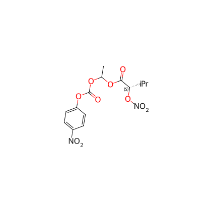 CC(OC(=O)Oc1ccc([N+](=O)[O-])cc1)OC(=O)[C@@H](O[N+](=O)[O-])C(C)C